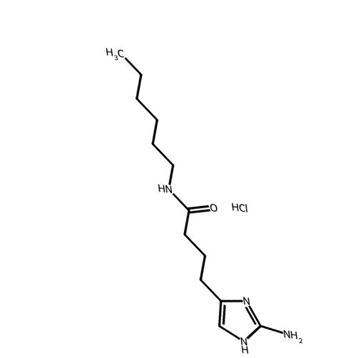 CCCCCCNC(=O)CCCc1c[nH]c(N)n1.Cl